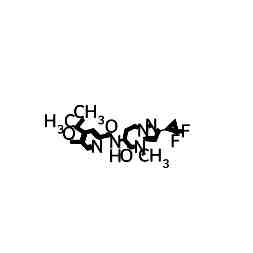 CCC1(C)OCc2cnc(C(=O)N[C@H]3CCn4nc([C@@H]5CC5(F)F)cc4N(C)C3=O)cc21